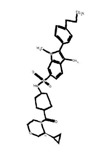 Cc1c(-c2ccc(CCC(=O)O)cc2)n(C)c2cc(S(=O)(=O)NC3CCC(C(=O)N4CCOC[C@@H]4C4CC4)CC3)ccc12